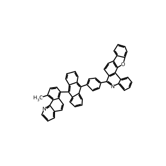 Cc1ccc(-c2c3ccccc3c(-c3ccc(-c4nc5ccccc5c5c4ccc4c6ccccc6oc45)cc3)c3ccccc23)c2ccc3cccnc3c12